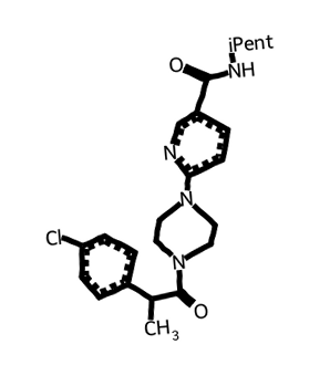 CCCC(C)NC(=O)c1ccc(N2CCN(C(=O)C(C)c3ccc(Cl)cc3)CC2)nc1